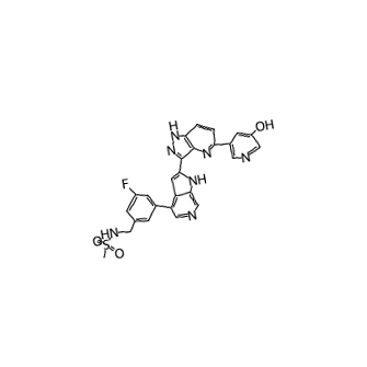 CS(=O)(=O)NCc1cc(F)cc(-c2cncc3[nH]c(-c4n[nH]c5ccc(-c6cncc(O)c6)nc45)cc23)c1